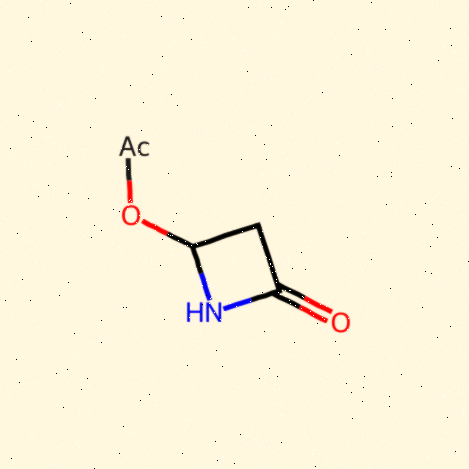 CC(=O)OC1CC(=O)N1